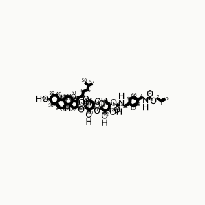 C=CCOC(=O)NCc1ccc(CNC(=O)OC2COC(OC3C(O)COC(O[C@H]4C[C@H]5[C@@H]6CC=C7C[C@@H](O)CC[C@]7(C)C6CC[C@]5(C)[C@@]4(O)[C@H](C)C(=O)CCC(C)C)C3O)C(O)C2O)cc1